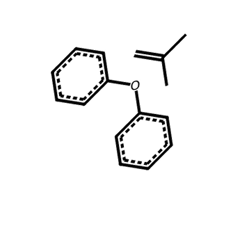 C=C(C)C.c1ccc(Oc2ccccc2)cc1